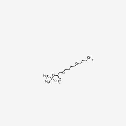 CCCCOCCCCOCC(=O)OC(C)(C)C